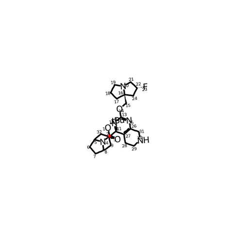 CC(C)(C)OC(=O)N1C2CCC1CC(c1nc(OC[C@@]34CCCN3C[C@H](F)C4)nc3c1CCNC3)C2